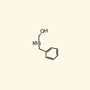 O[CH2][Mg][CH2]c1ccccc1